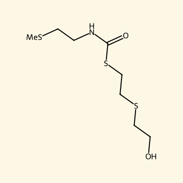 CSCCNC(=O)SCCSCCO